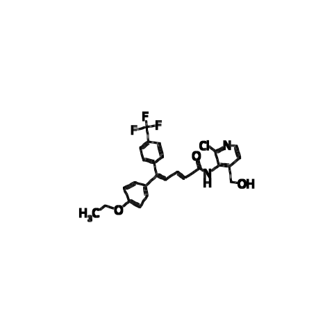 CCOc1ccc(C(=CC=CC(=O)Nc2c(CO)ccnc2Cl)c2ccc(C(F)(F)F)cc2)cc1